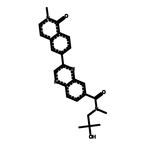 CN(CC(C)(C)O)C(=O)c1ccc2ncc(-c3ccc4c(=O)n(C)ccc4c3)nc2c1